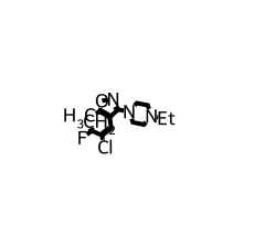 C=C(F)/C(Cl)=C\c1c(N2CCN(CC)CC2)noc1C